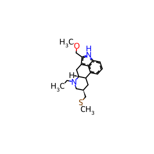 CCN1C[C@H](CSC)CC2c3cccc4[nH]c(COC)c(c34)C[C@H]21